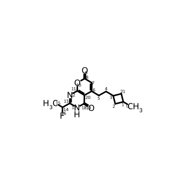 CC1CC(CCc2cc(=O)oc3nc(C(C)F)[nH]c(=O)c23)C1